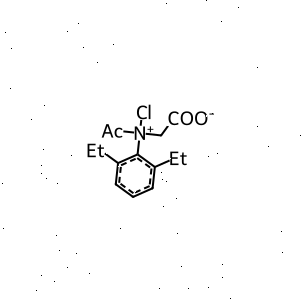 CCc1cccc(CC)c1[N+](Cl)(CC(=O)[O-])C(C)=O